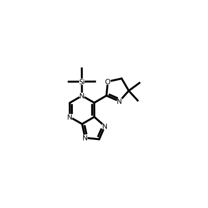 CC1(C)COC(c2c3ncnc-3ncn2[Si](C)(C)C)=N1